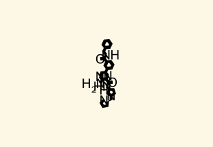 Nc1ncc(-c2cccc(C(=O)NCc3ccccc3)c2)nc1C(=O)NC1CCN(C[C@H]2CCCN2)C1